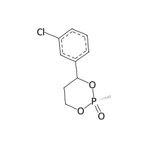 C[P@]1(=O)OCCC(c2cccc(Cl)c2)O1